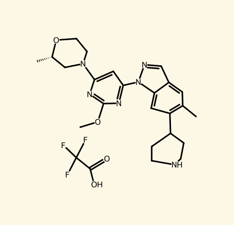 COc1nc(N2CCO[C@@H](C)C2)cc(-n2ncc3cc(C)c(C4CCNCC4)cc32)n1.O=C(O)C(F)(F)F